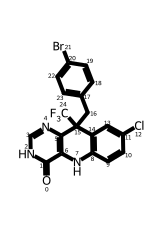 O=c1[nH]cnc2c1Nc1ccc(Cl)cc1C2(Cc1ccc(Br)cc1)C(F)(F)F